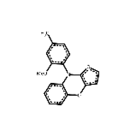 COc1cc(C)ccc1N1c2ccccc2Oc2ccoc21